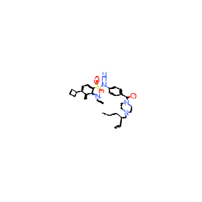 C=C/N=C1\C(=C)C(C2CCC2)=CC=C1S(=O)(=O)Nc1ccc(C(=O)N2CCN(CC(CC)CCC)CC2)cc1